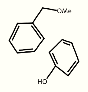 COCc1ccccc1.Oc1ccccc1